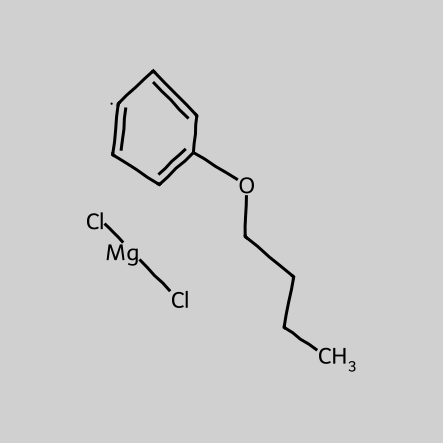 CCCCOc1cc[c]cc1.[Cl][Mg][Cl]